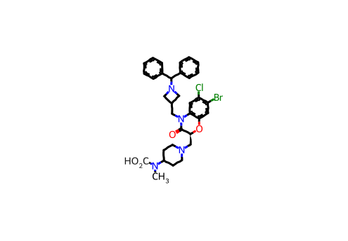 CN(C(=O)O)C1CCN(C[C@@H]2Oc3cc(Br)c(Cl)cc3N(CC3CN(C(c4ccccc4)c4ccccc4)C3)C2=O)CC1